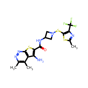 Cc1nc(C(F)(F)F)c(SN2CC(NC(=O)c3sc4nnc(C)c(C)c4c3N)C2)s1